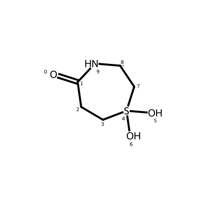 O=C1CCS(O)(O)C[CH]N1